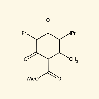 COC(=O)C1C(=O)C(C(C)C)C(=O)C(C(C)C)C1C